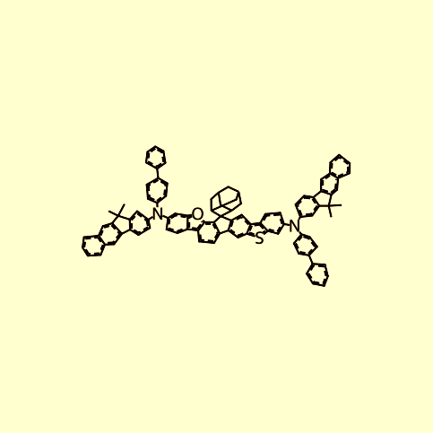 CC1(C)c2cc(N(c3ccc(-c4ccccc4)cc3)c3ccc4c(c3)oc3c5c(ccc34)-c3cc4sc6cc(N(c7ccc(-c8ccccc8)cc7)c7ccc8c(c7)C(C)(C)c7cc9ccccc9cc7-8)ccc6c4cc3C53C4CC5CC(C4)CC3C5)ccc2-c2cc3ccccc3cc21